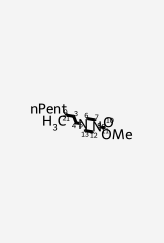 CCCCCC(C)CCN1CCN(C(=O)OC)CC1